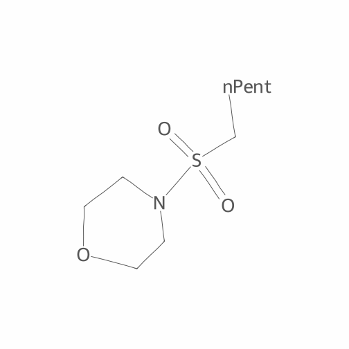 CCCCCCS(=O)(=O)N1CCOCC1